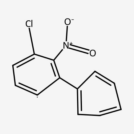 O=[N+]([O-])c1c(-c2ccccc2)[c]ccc1Cl